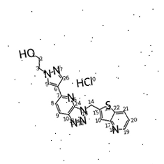 Cl.OCCn1cc(-c2ccc3nnn(Cc4cc5ncccc5s4)c3n2)cn1